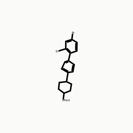 CCCCCC1CCC(c2ccc(-c3ccc(Br)cc3CC)cc2)CC1